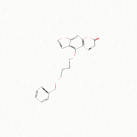 O=c1ccc2c(OCCCCOCc3ccccc3)c3ccoc3cc2o1